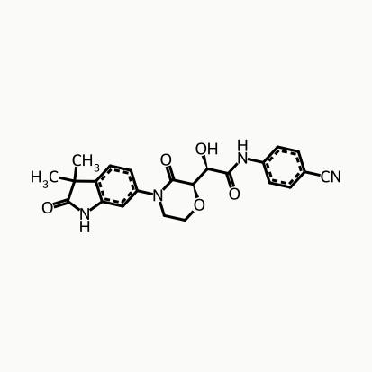 CC1(C)C(=O)Nc2cc(N3CCO[C@H]([C@@H](O)C(=O)Nc4ccc(C#N)cc4)C3=O)ccc21